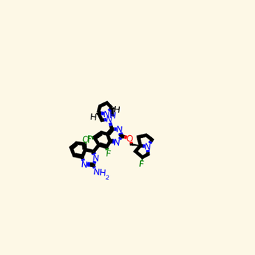 Nc1nc(-c2c(F)cc3c(N4C[C@H]5CC[C@@H](C4)N5)nc(OC[C@@]45CCCN4C[C@H](F)C5)nc3c2F)c2c(Cl)cccc2n1